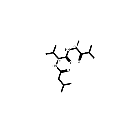 CC(C)CC(=O)N[C@H](C(=O)N[C@@H](C)C(=O)C(C)C)C(C)C